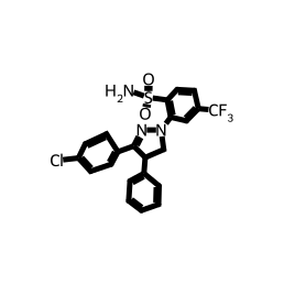 NS(=O)(=O)c1ccc(C(F)(F)F)cc1N1CC(c2ccccc2)C(c2ccc(Cl)cc2)=N1